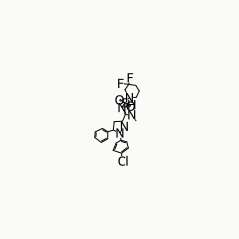 CNC(=NS(=O)(=O)N1CCCC(F)(F)C1)C1=NN(c2ccc(Cl)cc2)C(c2ccccc2)C1